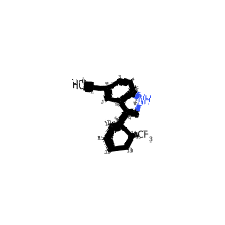 C#Cc1ccc2[nH]cc(-c3ccccc3C(F)(F)F)c2c1